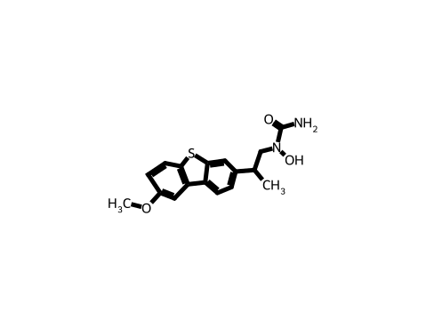 COc1ccc2sc3cc(C(C)CN(O)C(N)=O)ccc3c2c1